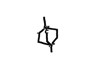 C[N+]12[CH]C[N+](C)(CC1)CC2